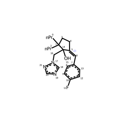 CCCC1(CCC)CC/C(=C/c2ccc(F)cc2)C1(O)Cn1cncn1